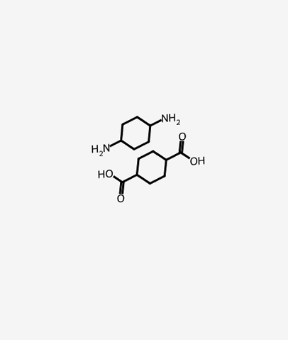 NC1CCC(N)CC1.O=C(O)C1CCC(C(=O)O)CC1